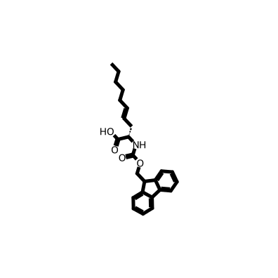 CCCCCC=CC[C@H](NC(=O)OCC1c2ccccc2-c2ccccc21)C(=O)O